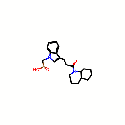 O=C(CCc1cn(CS(=O)O)c2ccccc12)N1CCCC2CCCCC21